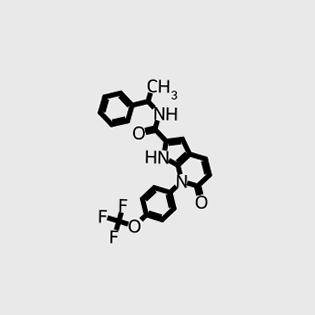 CC(NC(=O)c1cc2ccc(=O)n(-c3ccc(OC(F)(F)F)cc3)c2[nH]1)c1ccccc1